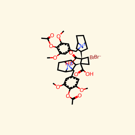 COc1cc(C[N+]2(C)C3CCC2CC([C@@]2(C(=O)O)CC[C@@]2(C(=O)O)C2CC4CCC(C2)[N+]4(C)Cc2cc(OC)c(OC(C)=O)c(OC)c2)C3)cc(OC)c1OC(C)=O.[Br-].[Br-]